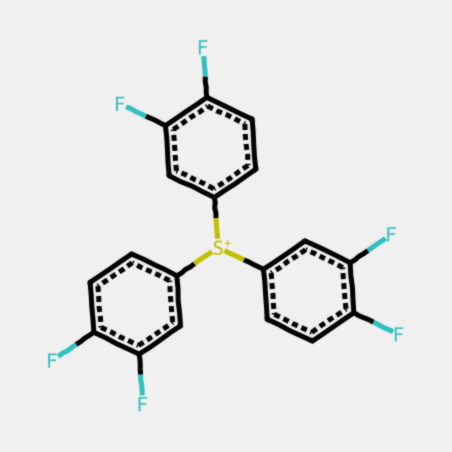 Fc1ccc([S+](c2ccc(F)c(F)c2)c2ccc(F)c(F)c2)cc1F